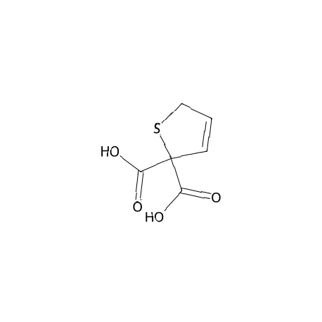 O=C(O)C1(C(=O)O)C=CCS1